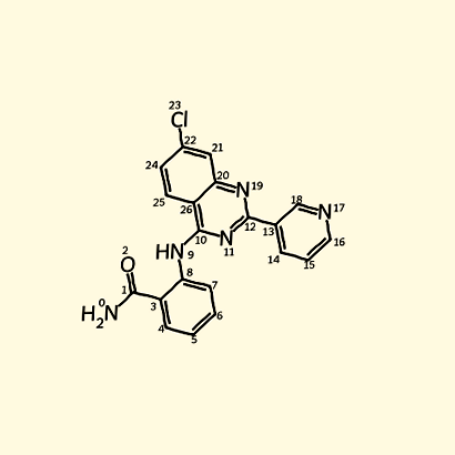 NC(=O)c1ccccc1Nc1nc(-c2cccnc2)nc2cc(Cl)ccc12